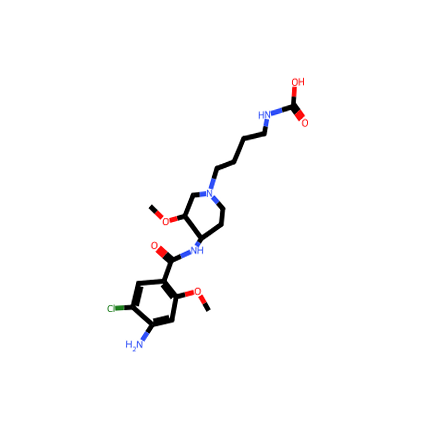 COc1cc(N)c(Cl)cc1C(=O)NC1CCN(CCCCNC(=O)O)CC1OC